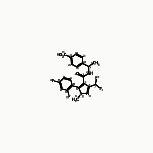 CC(NC(=O)c1c(C(F)F)nn(C)c1-c1ccc(F)cc1F)c1ccc(C(=O)O)cc1